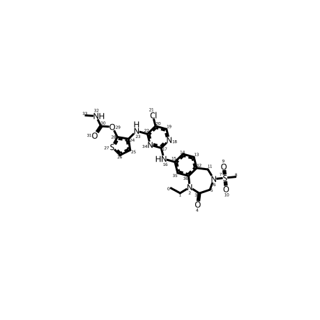 CCN1C(=O)CN(S(C)(=O)=O)Cc2ccc(Nc3ncc(Cl)c(Nc4ccsc4OC(=O)NC)n3)cc21